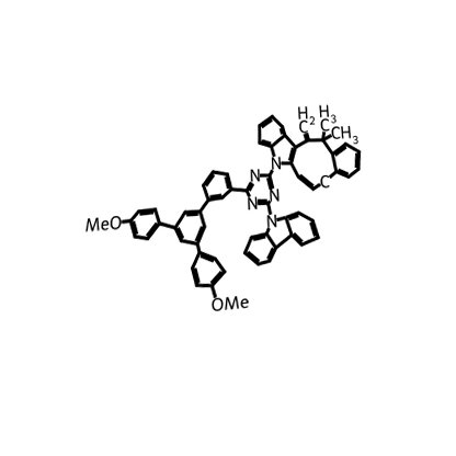 C=C1c2c(n(-c3nc(-c4cccc(-c5cc(-c6ccc(OC)cc6)cc(-c6ccc(OC)cc6)c5)c4)nc(-n4c5ccccc5c5ccccc54)n3)c3ccccc23)/C=C\Cc2ccccc2C1(C)C